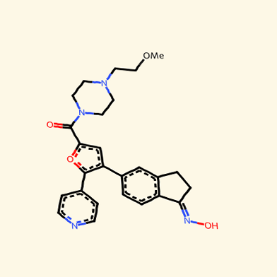 COCCN1CCN(C(=O)c2cc(-c3ccc4c(c3)CCC4=NO)c(-c3ccncc3)o2)CC1